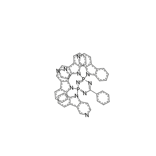 c1ccc(C2=NP(n3c4ccccc4c4cnccc43)(n3c4ccccc4c4ccncc43)=NP(n3c4ccccc4c4cnccc43)(n3c4ccccc4c4ccncc43)=N2)cc1